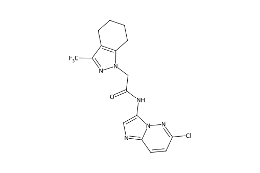 O=C(Cn1nc(C(F)(F)F)c2c1CCCC2)Nc1cnc2ccc(Cl)nn12